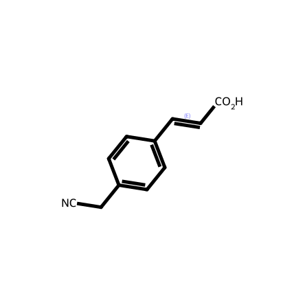 N#CCc1ccc(/C=C/C(=O)O)cc1